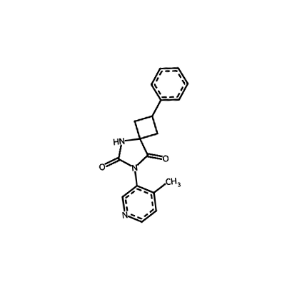 Cc1ccncc1N1C(=O)NC2(CC(c3ccccc3)C2)C1=O